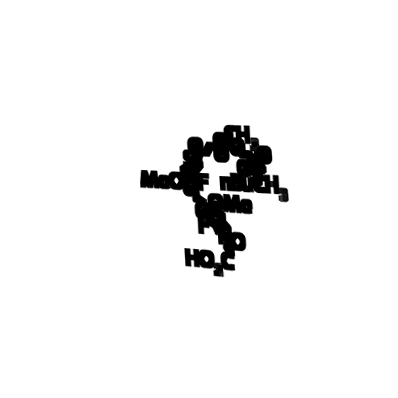 CCCCC(C)C1CC(=O)N(CCOC[C@H](C)OC(=O)CCC(=O)c2cc3c(F)c(OCCCOc4c(OC)cc5c(c4F)CN(C(=O)CCC(=O)O)C5)c(OC)cc3s2)C1=O